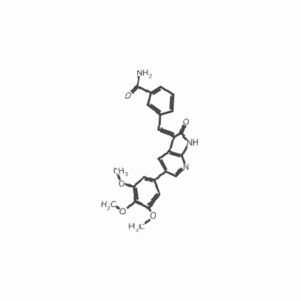 COc1cc(-c2cnc3c(c2)C(=Cc2cccc(C(N)=O)c2)C(=O)N3)cc(OC)c1OC